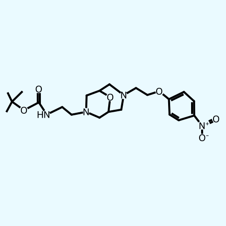 CC(C)(C)OC(=O)NCCN1CC2CN(CCOc3ccc([N+](=O)[O-])cc3)CC(C1)O2